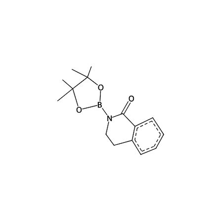 CC1(C)OB(N2CCc3ccccc3C2=O)OC1(C)C